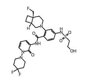 O=C(Nc1cccn(N2CCC(F)(F)CC2)c1=O)c1ccc(NS(=O)(=O)CCO)cc1N1CC[C@@]2(CF)CC[C@H]2C1